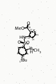 CBc1cc(C(C)(C)C)ccc1S(=O)(=O)Nc1ccsc1C(=O)OC